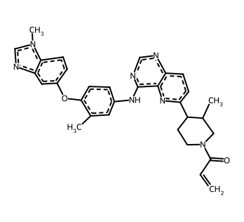 C=CC(=O)N1CCC(c2ccc3ncnc(Nc4ccc(Oc5ccc6c(c5)ncn6C)c(C)c4)c3n2)C(C)C1